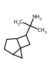 CC(C)(N)C1CC23CC2CCC13